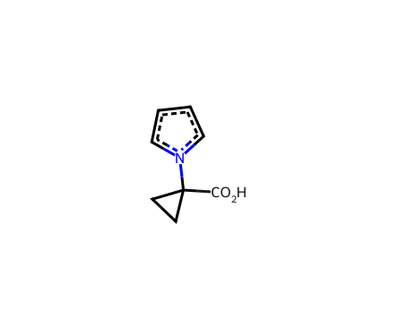 O=C(O)C1(n2cccc2)CC1